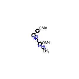 COc1ccc([C@H]2CCCn3nc(/C=C/c4cnc(-n5cnc(C)c5)c(OC)c4)nc32)cc1